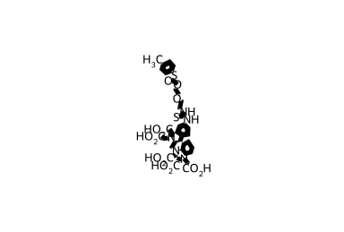 Cc1ccc(SC(=O)OCCOCCNC(=S)Nc2ccc(C[C@@H](CN(CC(=O)O)[C@@H]3CCCC[C@H]3N(CC(=O)O)CC(=O)O)N(CC(=O)O)CC(=O)O)cc2)cc1